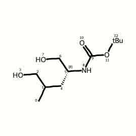 CC(CO)C[C@H](CO)NC(=O)OC(C)(C)C